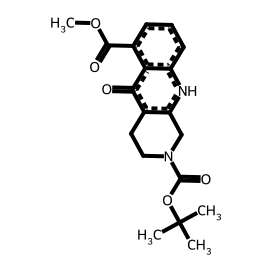 COC(=O)c1cccc2[nH]c3c(c(=O)c12)CCN(C(=O)OC(C)(C)C)C3